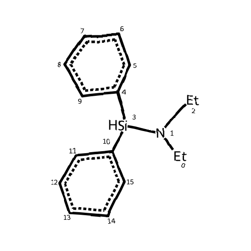 CCN(CC)[SiH](c1ccccc1)c1ccccc1